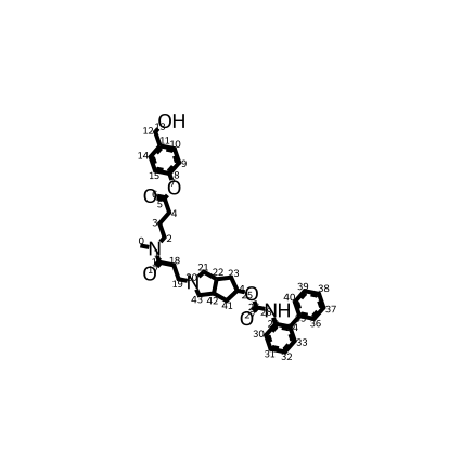 CN(CCCC(=O)Oc1ccc(CO)cc1)C(=O)CCN1CC2CC(OC(=O)Nc3ccccc3-c3ccccc3)CC2C1